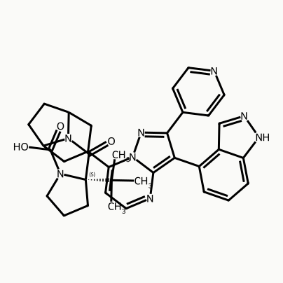 CC(C)(C)[C@]1(C(=O)N2C3CCC2CC(c2ccnc4c(-c5cccc6[nH]ncc56)c(-c5ccncc5)nn24)C3)CCCN1C(=O)O